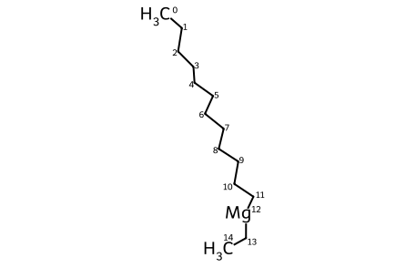 CCCCCCCCCCC[CH2][Mg][CH2]C